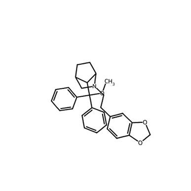 COC(c1ccccc1)(c1ccccc1)C1C2CCC1N(CCc1ccc3c(c1)OCO3)C2